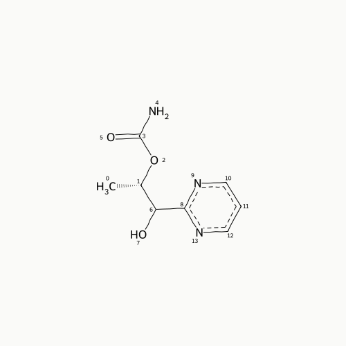 C[C@H](OC(N)=O)C(O)c1ncccn1